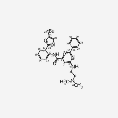 CN(C)CCNc1cc(C(=O)Nc2ccccc2-c2ncc(C(C)(C)C)o2)nc(-c2ccccc2)n1